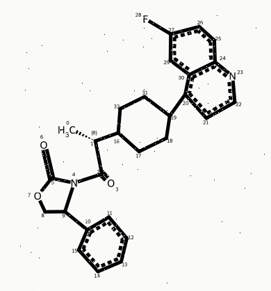 C[C@@H](C(=O)N1C(=O)OCC1c1ccccc1)C1CCC(c2ccnc3ccc(F)cc23)CC1